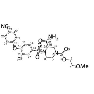 COCCOC(=O)N1CCN(S(=O)(=O)c2ccc(Oc3ccc(C#N)cc3)c(F)c2)[C@@H](C(N)=O)C1